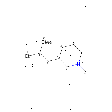 CCC(CC1CCCN(C)C1)OC